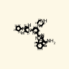 CC1(c2nc(-c3cc(N4CCNCC4)cc(N4C[C@@H]5C[C@H]4CN5C4CCCC4)n3)no2)CCCc2sc(N)c(C#N)c21